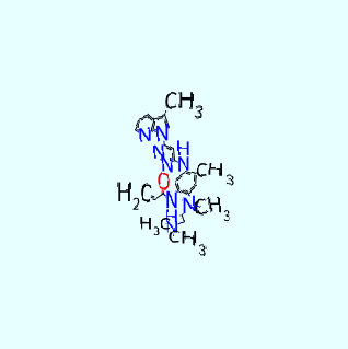 C=CC(=O)Nc1cc(Nc2cc(-n3cc(C)c4cccnc43)ncn2)c(C)cc1N(C)CCN(C)C